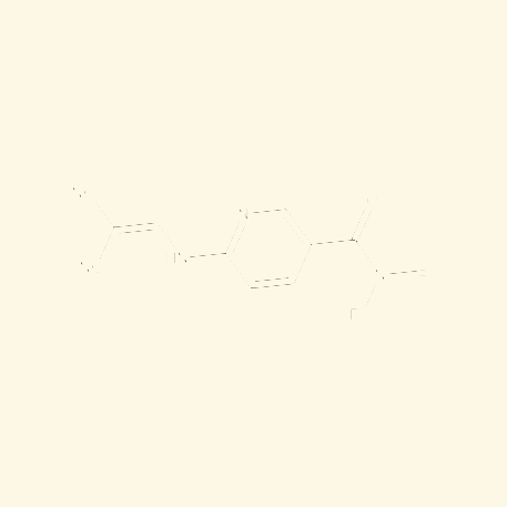 CCN(CC)C(=O)c1ccc(NC=C(C#N)C#N)nc1